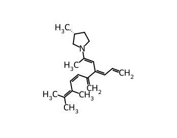 C=C/C=C(\C=C(/C)N1CC[C@@H](C)C1)C(=C)/C=C\C(C)=C(C)C